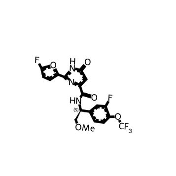 COC[C@@H](NC(=O)c1cc(=O)[nH]c(-c2ccc(F)o2)n1)c1ccc(OC(F)(F)F)c(F)c1